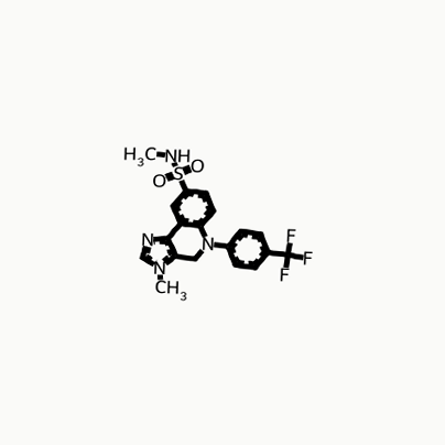 CNS(=O)(=O)c1ccc2c(c1)-c1ncn(C)c1CN2c1ccc(C(F)(F)F)cc1